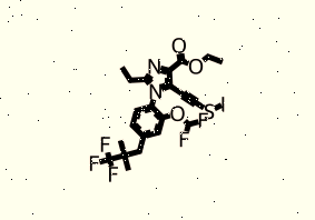 CCOC(=O)c1nc(CC)n(-c2ccc(CC(C)(C)C(F)(F)F)cc2OC(F)F)c1C#CSI